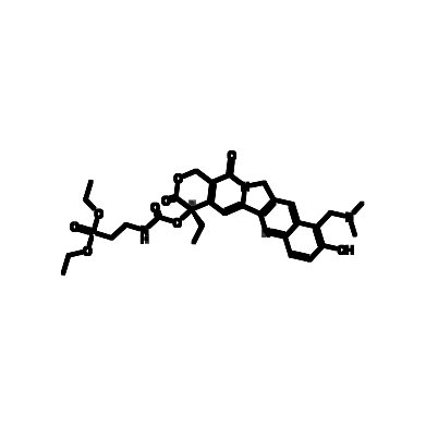 CCOP(=O)(CCNC(=O)O[C@]1(CC)C(=O)OCc2c1cc1n(c2=O)Cc2cc3c(CN(C)C)c(O)ccc3nc2-1)OCC